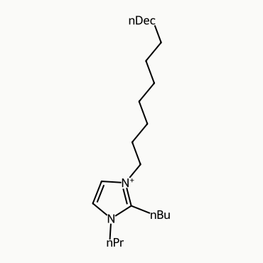 CCCCCCCCCCCCCCCCC[n+]1ccn(CCC)c1CCCC